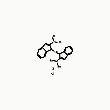 CCCCP(CCCC)C1=Cc2ccccc2[CH]1[Ti+2][CH]1C(P(C(C)CC)C(C)CC)=Cc2ccccc21.[Cl-].[Cl-]